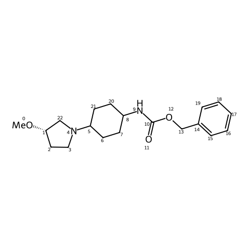 CO[C@H]1CCN(C2CCC(NC(=O)OCc3ccccc3)CC2)C1